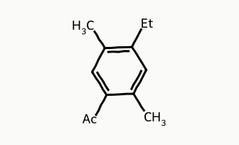 CCc1cc(C)c(C(C)=O)cc1C